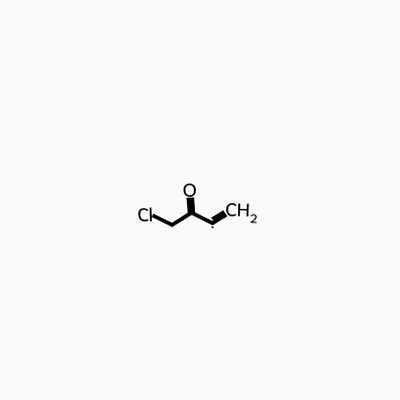 C=[C]C(=O)CCl